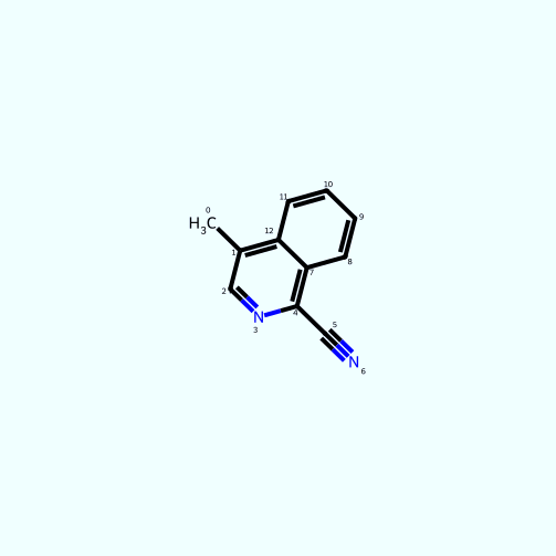 Cc1[c]nc(C#N)c2ccccc12